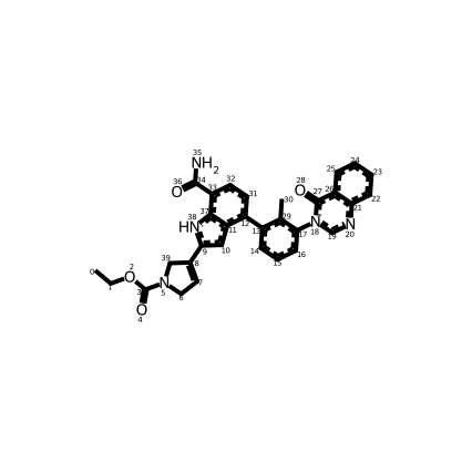 CCOC(=O)N1CC=C(c2cc3c(-c4cccc(-n5cnc6ccccc6c5=O)c4C)ccc(C(N)=O)c3[nH]2)C1